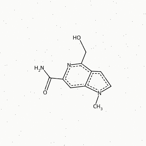 Cn1ccc2c(CO)nc(C(N)=O)cc21